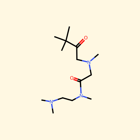 CN(C)CCN(C)C(=O)CN(C)CC(=O)C(C)(C)C